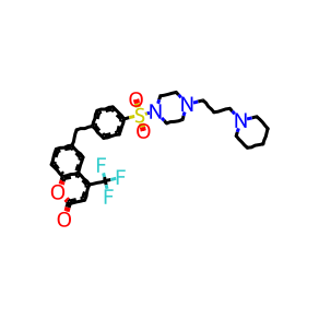 O=c1cc(C(F)(F)F)c2cc(Cc3ccc(S(=O)(=O)N4CCN(CCCN5CCCCC5)CC4)cc3)ccc2o1